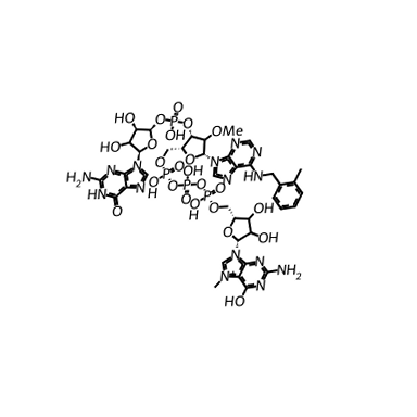 COC1[C@@H](OP(=O)(O)O[C@H]2O[C@@H](n3cnc4c(=O)[nH]c(N)nc43)C(O)[C@H]2O)[C@@H](COP(=O)(O)OP(=O)(O)OP(=O)(O)OC[C@H]2O[C@@H](n3c[n+](C)c4c(O)nc(N)nc43)C(O)C2O)O[C@H]1n1cnc2c(NCc3ccccc3C)ncnc21